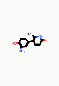 Cc1[nH]c(=O)ccc1-c1ccc(O)c(N)c1